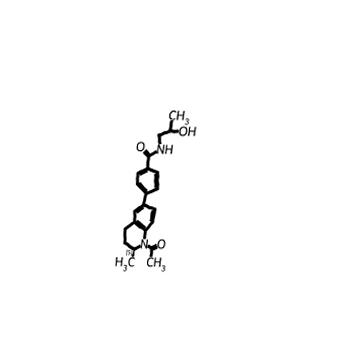 CC(=O)N1c2ccc(-c3ccc(C(=O)NCC(C)O)cc3)cc2CC[C@@H]1C